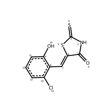 O=C1NC(=S)S/C1=C\c1c(O)cccc1Cl